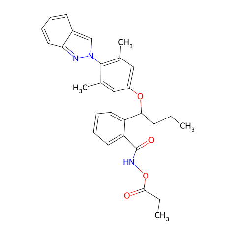 CCCC(Oc1cc(C)c(-n2cc3ccccc3n2)c(C)c1)c1ccccc1C(=O)NOC(=O)CC